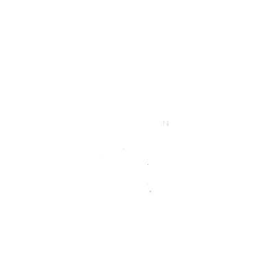 CC(N)CC(C)C(=O)O